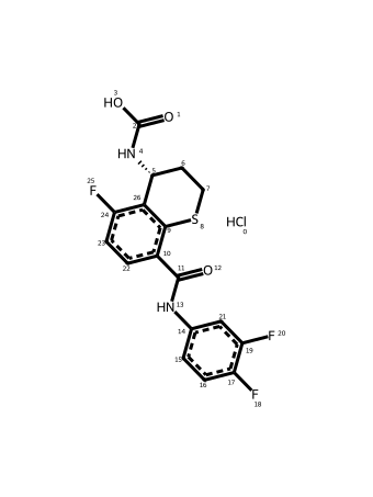 Cl.O=C(O)N[C@@H]1CCSc2c(C(=O)Nc3ccc(F)c(F)c3)ccc(F)c21